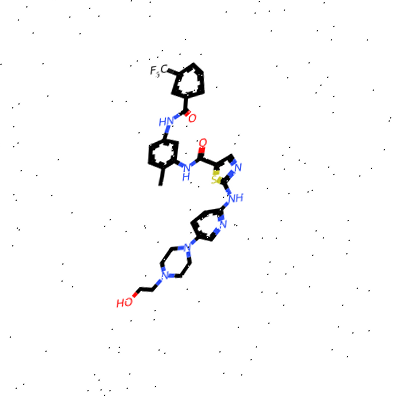 Cc1ccc(NC(=O)c2cccc(C(F)(F)F)c2)cc1NC(=O)c1cnc(Nc2ccc(N3CCN(CCO)CC3)cn2)s1